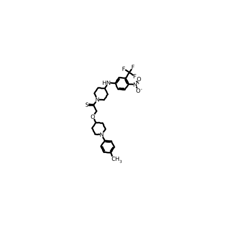 Cc1ccc(N2CCC(OCC(=S)N3CCC(Nc4ccc([N+](=O)[O-])c(C(F)(F)F)c4)CC3)CC2)cc1